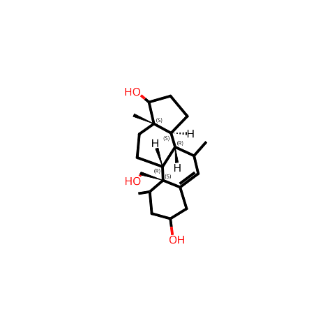 CC1C=C2CC(O)CC(C)[C@]2(CO)[C@@H]2CC[C@]3(C)C(O)CC[C@H]3[C@H]12